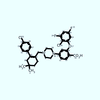 CC1(C)CCC(CN2CCN(c3ccc(C(=O)O)c(Oc4cc(F)cc(F)c4Cl)c3)CC2)=C(c2ccc(Cl)cc2)C1